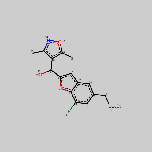 CCOC(=O)Cc1cc(F)c2oc(C(O)c3c(C)noc3C)cc2c1